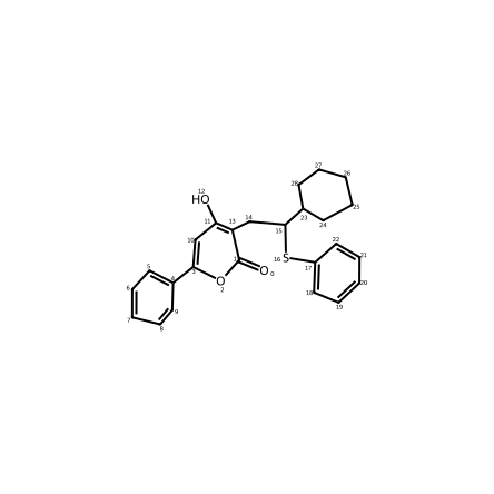 O=c1oc(-c2ccccc2)cc(O)c1CC(Sc1ccccc1)C1CCCCC1